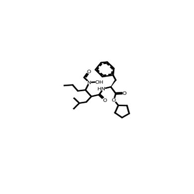 CCCC(C(CC(C)C)C(=O)N[C@@H](Cc1ccccc1)C(=O)OC1CCCC1)N(O)C=O